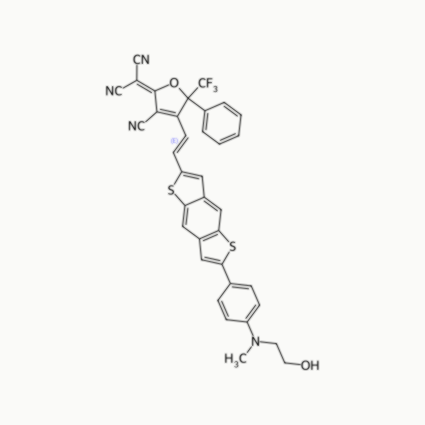 CN(CCO)c1ccc(-c2cc3cc4sc(/C=C/C5=C(C#N)C(=C(C#N)C#N)OC5(c5ccccc5)C(F)(F)F)cc4cc3s2)cc1